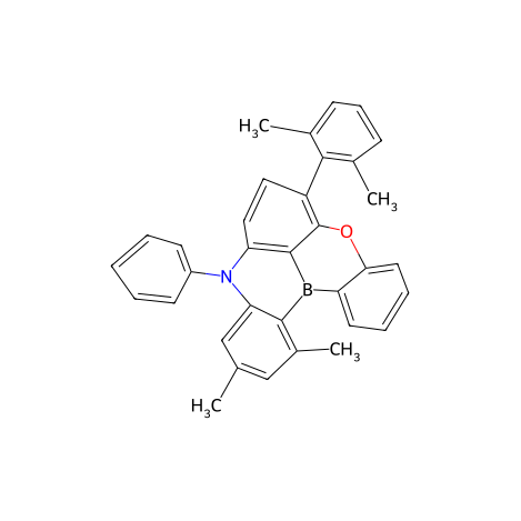 Cc1cc(C)c2c(c1)N(c1ccccc1)c1ccc(-c3c(C)cccc3C)c3c1B2c1ccccc1O3